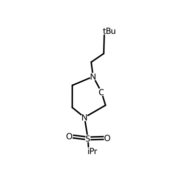 CC(C)S(=O)(=O)N1CCN(CCC(C)(C)C)CC1